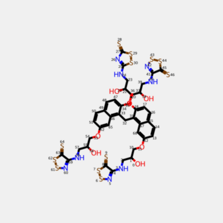 OC(CNc1nssc1=S)COc1ccc2ccc(OCC(O)CNc3nc(=S)ss3)c(Cc3c(OCC(O)CNc4nssc4=S)ccc4ccc(OCC(O)CNc5nssc5=S)cc34)c2c1